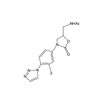 CC(=O)NCC1CN(c2ccc(-n3ccnn3)c(F)c2)C(=O)O1